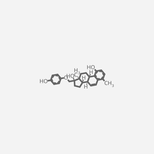 Cc1ccc(O)c2c1C=C[C@@H]1[C@@H]2CC[C@@]2(C)[C@H]1CC[C@]2(O)COc1ccc(O)cc1